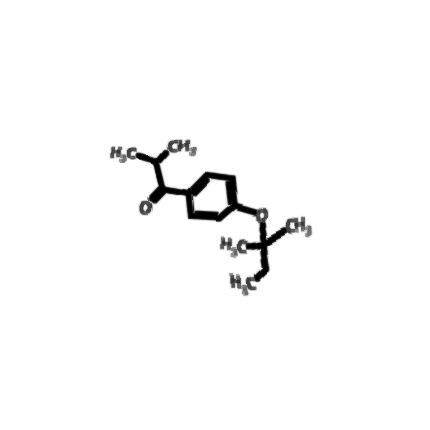 CCC(C)(C)Oc1ccc(C(=O)C(C)C)cc1